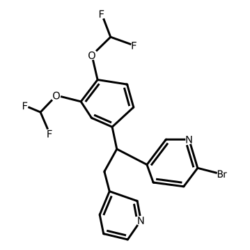 FC(F)Oc1ccc(C(Cc2cccnc2)c2ccc(Br)nc2)cc1OC(F)F